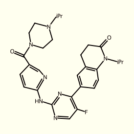 CC(C)N1CCN(C(=O)c2ccc(Nc3ncc(F)c(-c4ccc5c(c4)CCC(=O)N5C(C)C)n3)nc2)CC1